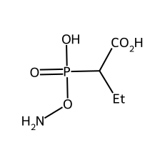 CCC(C(=O)O)P(=O)(O)ON